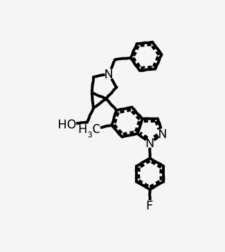 Cc1cc2c(cnn2-c2ccc(F)cc2)cc1C12CN(Cc3ccccc3)CC1C2CO